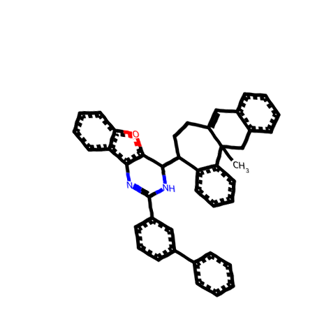 CC12Cc3ccccc3C=C1CCC(C1NC(c3cccc(-c4ccccc4)c3)=Nc3c1oc1ccccc31)c1ccccc12